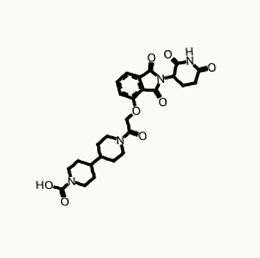 O=C1CCC(N2C(=O)c3cccc(OCC(=O)N4CCC(C5CCN(C(=O)O)CC5)CC4)c3C2=O)C(=O)N1